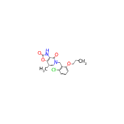 CCCOc1cccc(Cl)c1Cn1cc(C)c2oc(=O)[nH]c2c1=O